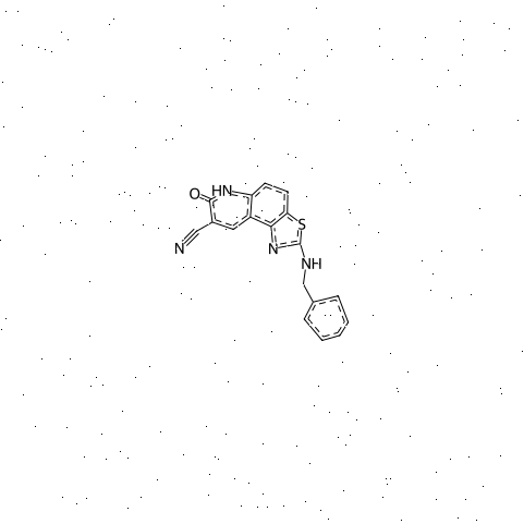 N#Cc1cc2c(ccc3sc(NCc4ccccc4)nc32)[nH]c1=O